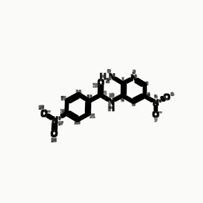 Nc1ncc([N+](=O)[O-])cc1NC(=O)c1ccc([N+](=O)[O-])cc1